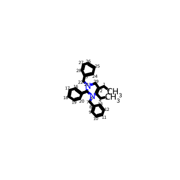 CCC1=C(CC)N(Cc2ccccc2)C(c2ccccc2)N(Cc2ccccc2)C1